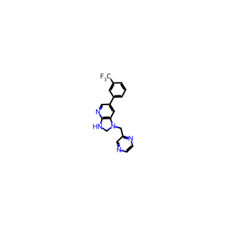 FC(F)(F)c1cccc(-c2cnc3c(c2)N(Cc2cnccn2)CN3)c1